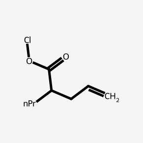 C=CCC(CCC)C(=O)OCl